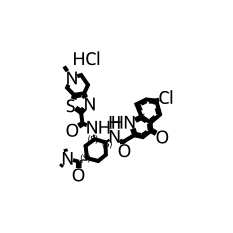 CN1CCc2nc(C(=O)N[C@H]3C[C@@H](C(=O)N(C)C)CC[C@@H]3NC(=O)c3cc(=O)c4cc(Cl)ccc4[nH]3)sc2C1.Cl